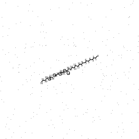 CCCCCCCCCCCCCCCCCC(=O)OCCOCCOCCOCCCC